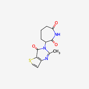 Cc1nc2ccsc2c(=O)n1C1CCCC(=O)NC1=O